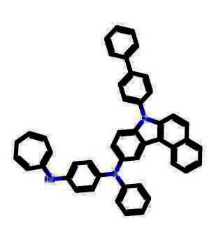 C1=CCC=CC(Nc2ccc(N(c3ccccc3)c3ccc4c(c3)c3c5ccccc5ccc3n4-c3ccc(-c4ccccc4)cc3)cc2)=C1